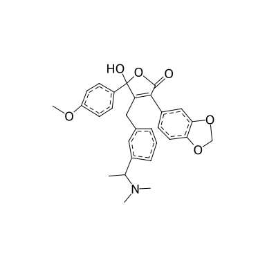 COc1ccc(C2(O)OC(=O)C(c3ccc4c(c3)OCO4)=C2Cc2cccc(C(C)N(C)C)c2)cc1